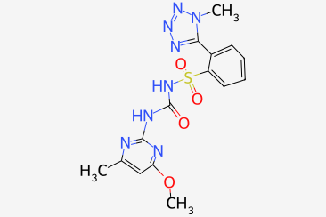 COc1cc(C)nc(NC(=O)NS(=O)(=O)c2ccccc2-c2nnnn2C)n1